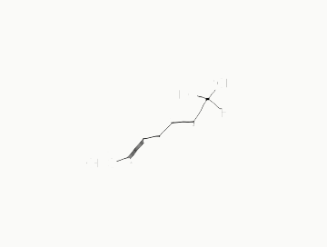 CCC(C)(C)CCCC=CC=O